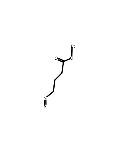 CCOC(=O)CCCN=S